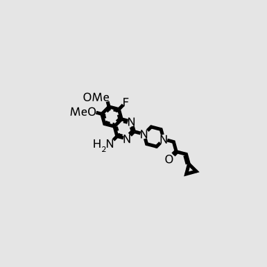 COc1cc2c(N)nc(N3CCN(CC(=O)C=C4CC4)CC3)nc2c(F)c1OC